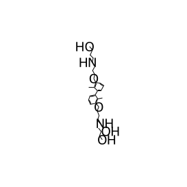 Cc1c(OCCCNCCCO)cccc1-c1cccc(OCCCNCC(O)CO)c1C